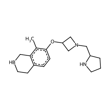 Cc1c(OC2CN(CC3CCCN3)C2)ccc2c1CBCC2